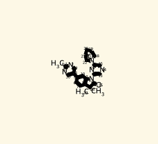 Cc1ncc(-c2ccc3c(c2)N(c2cncc(N4CC5CC(C4)O5)n2)C(=O)C3(C)C)cn1